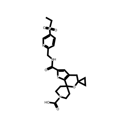 CCS(=O)(=O)c1ccc(CNC(=O)c2cc3c(s2)C2(CCN(C(=O)O)CC2)OC2(CC2)C3)nc1